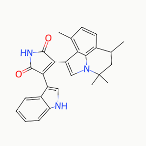 Cc1ccc2c3c1c(C1=C(c4c[nH]c5ccccc45)C(=O)NC1=O)cn3C(C)(C)CC2C